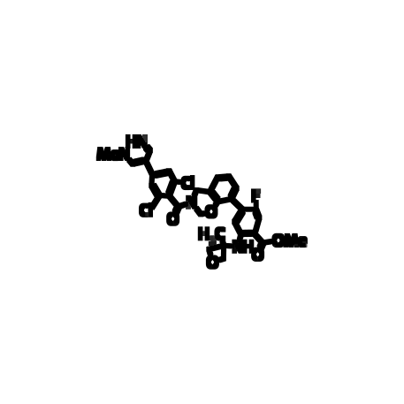 CN/C=C(\C=N)c1cc(Cl)c(C(=O)N2COc3c(cccc3-c3cc(NC4(C)COC4)c(C(=O)OC)cc3F)C2)c(Cl)c1